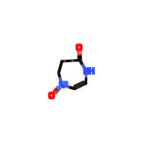 O=C1CC[N+](=O)C=CN1